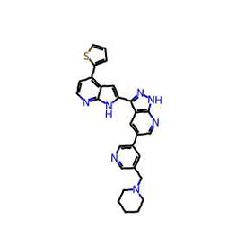 c1csc(-c2ccnc3[nH]c(-c4n[nH]c5ncc(-c6cncc(CN7CCCCC7)c6)cc45)cc23)c1